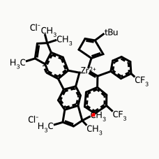 CC1=CC(C)(C)c2cc3c(cc21)-c1cc2c(cc1[CH]3[Zr+2]([C]1=CC(C(C)(C)C)=CC1)=[C](c1cccc(C(F)(F)F)c1)c1cccc(C(F)(F)F)c1)C(C)(C)C=C2C.[Cl-].[Cl-]